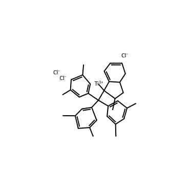 Cc1cc(C)cc(C(c2cc(C)cc(C)c2)(c2cc(C)cc(C)c2)[C]2([Ti+3])C3=CC=CCC3CC2C)c1.[Cl-].[Cl-].[Cl-]